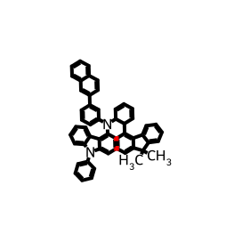 CC1(C)c2ccccc2-c2c(C3C=CC=CC3N(c3cccc(-c4ccc5ccccc5c4)c3)c3cccc4c3c3ccccc3n4-c3ccccc3)cccc21